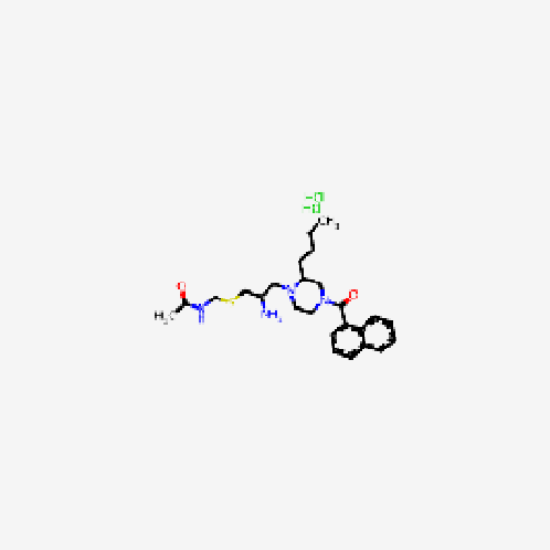 CCCCC1CN(C(=O)c2cccc3ccccc23)CCN1CC(N)CSCNC(C)=O.Cl.Cl